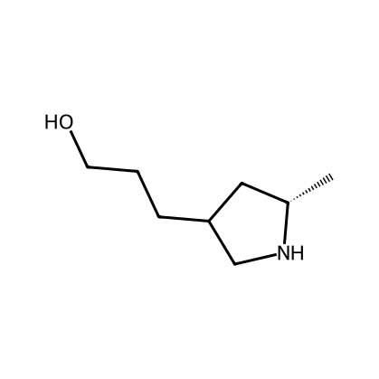 C[C@H]1CC(CCCO)CN1